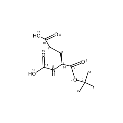 CC(C)(C)OC(=O)[C@H](CCC(=O)O)NC(=O)O